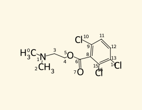 CN(C)CCOC(=O)c1c(Cl)ccc(Cl)c1Cl